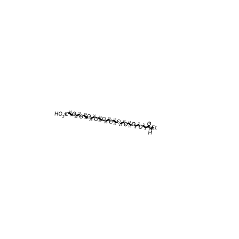 CCNC(=O)CCOCCOCCOCCOCCOCCOCCOCCOCCOCCOCCC(=O)O